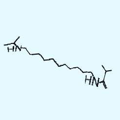 C=C(NCCCCCCCCCCCNC(C)C)C(C)C